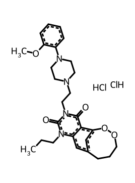 CCCn1c(=O)n(CCN2CCN(c3ccccc3OC)CC2)c(=O)c2c3cc(cc21)CCCOO3.Cl.Cl